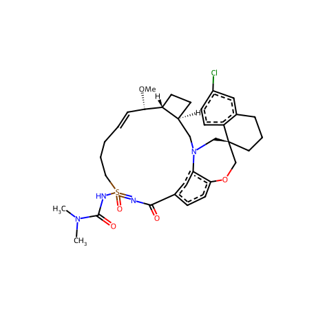 CO[C@H]1/C=C/CCCS(=O)(NC(=O)N(C)C)=NC(=O)c2ccc3c(c2)N(C[C@@H]2CC[C@H]21)C[C@@]1(CCCc2cc(Cl)ccc21)CO3